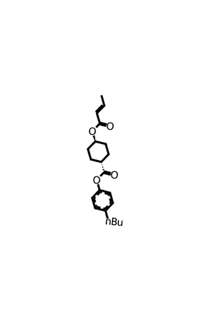 CC=CC(=O)O[C@H]1CC[C@H](C(=O)Oc2ccc(CCCC)cc2)CC1